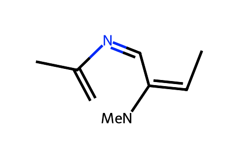 C=C(C)/N=C\C(=C/C)NC